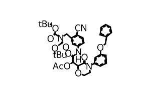 CC(=O)OC(C(=O)Nc1ccc(C#N)c(CN(C(=O)OC(C)(C)C)C(=O)OC(C)(C)C)c1)C1OCCN(c2cccc(OCc3ccccc3)c2)C1=O